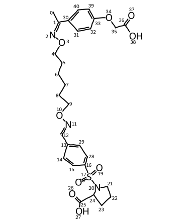 C/C(=N/OCCCCCCO/N=C/c1ccc(S(=O)(=O)N2CCCC2C(=O)O)cc1)c1ccc(OCC(=O)O)cc1